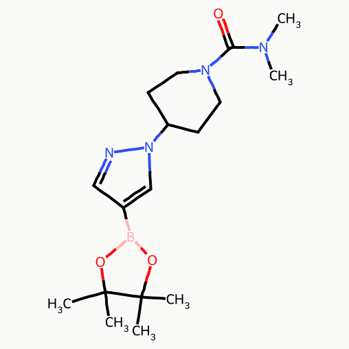 CN(C)C(=O)N1CCC(n2cc(B3OC(C)(C)C(C)(C)O3)cn2)CC1